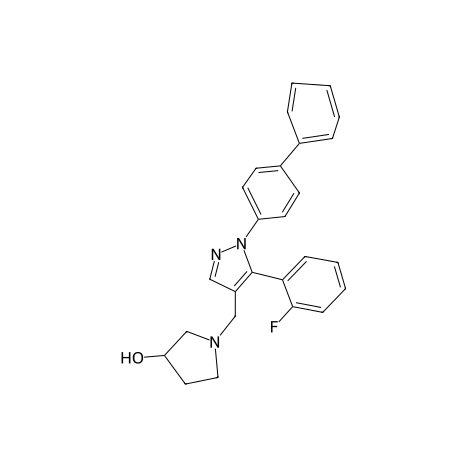 OC1CCN(Cc2cnn(-c3ccc(-c4ccccc4)cc3)c2-c2ccccc2F)C1